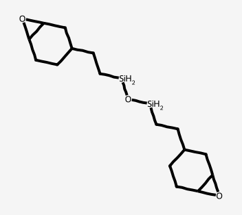 C(CC1CCC2OC2C1)[SiH2]O[SiH2]CCC1CCC2OC2C1